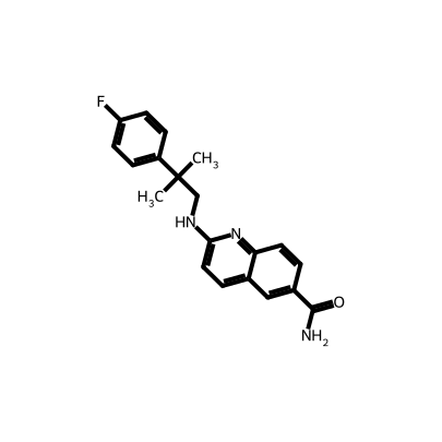 CC(C)(CNc1ccc2cc(C(N)=O)ccc2n1)c1ccc(F)cc1